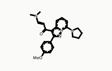 COc1ccc(-c2nn3c(N4CCCC4)cccc3c2C(=O)C=CN(C)C)cc1